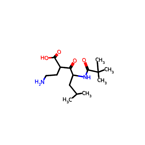 CC(C)CC(NC(=O)C(C)(C)C)C(=O)C(CCN)C(=O)O